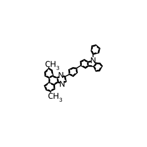 Cc1ccc2c3ccc(C)cc3c3nc(-c4ccc(-c5ccc6c(c5)c5ccccc5n6-c5ccccc5)cc4)cnc3c2c1